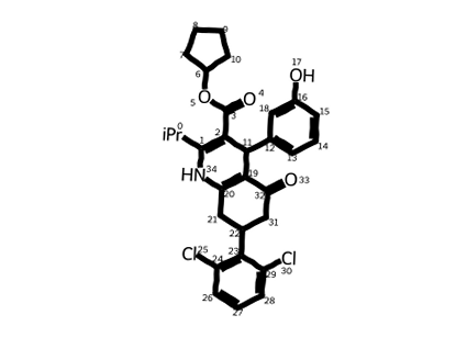 CC(C)C1=C(C(=O)OC2CCCC2)C(c2cccc(O)c2)C2=C(CC(c3c(Cl)cccc3Cl)CC2=O)N1